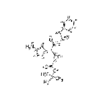 CC(C)(C)OC(=O)C1ON1C(C(=O)Sc1nc2ccccc2s1)c1csc(N)n1